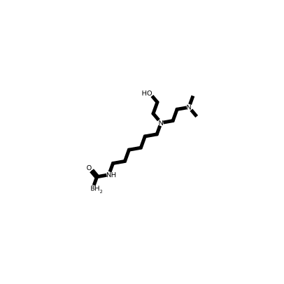 BC(=O)NCCCCCCN(CCO)CCN(C)C